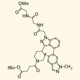 COC(=O)CNC(=O)CNC(=O)Cn1nc(C2CCN(C(=O)CCC(=O)OC(C)(C)C)CC2)c2c(-c3cc4c(cnn4C)cc3F)cccc21